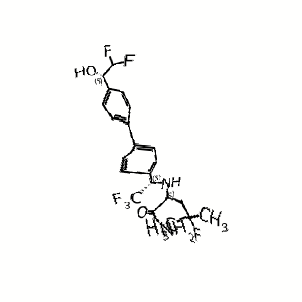 CC(C)(F)C[C@H](N[C@@H](c1ccc(-c2ccc([C@H](O)C(F)F)cc2)cc1)C(F)(F)F)C(N)=O